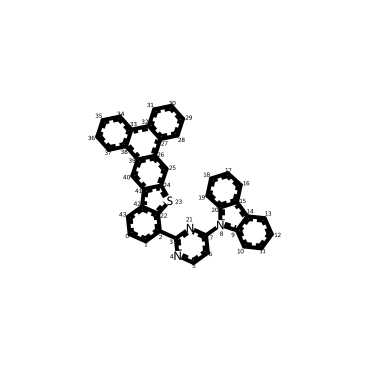 c1cc(-c2nccc(-n3c4ccccc4c4ccccc43)n2)c2sc3cc4c5ccccc5c5ccccc5c4cc3c2c1